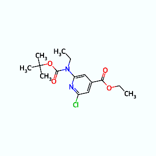 CCOC(=O)c1cc(Cl)nc(N(CC)C(=O)OC(C)(C)C)c1